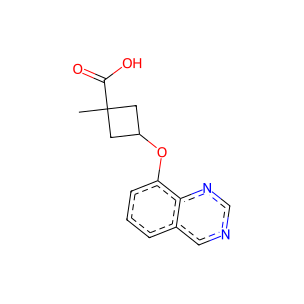 CC1(C(=O)O)CC(Oc2cccc3cncnc23)C1